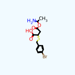 CC(N)OC(=O)CC(SCc1ccc(Br)cc1)C(=O)O